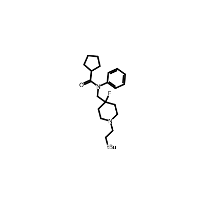 CC(C)(C)CCN1CCC(F)(CN(C(=O)C2CCCC2)c2ccccc2)CC1